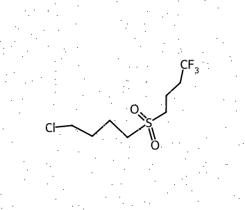 O=S(=O)(CCCCCl)CCCC(F)(F)F